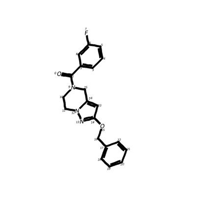 O=C(c1cccc(F)c1)N1CCn2nc(OCc3ccccc3)cc2C1